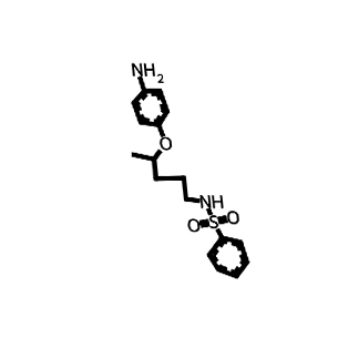 CC(CCCNS(=O)(=O)c1ccccc1)Oc1ccc(N)cc1